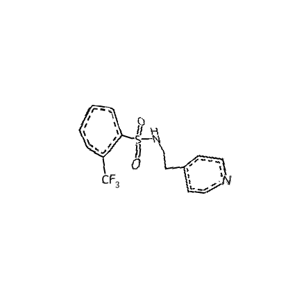 O=S(=O)(NCc1ccncc1)c1ccccc1C(F)(F)F